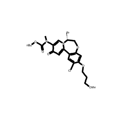 CCCCOC(=O)N(C)c1cn2c(cc1=O)-c1cc(Cl)c(OCCCOC)cc1OC[C@H]2C(C)C